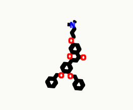 CN(C)CCCOc1ccc2c(=O)cc(-c3ccc(OCc4ccccc4)c(OCc4ccccc4)c3)oc2c1